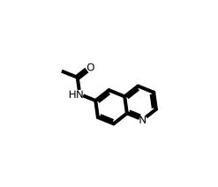 CC(=O)Nc1ccc2ncccc2c1